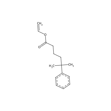 C=COC(=O)CCCC(C)(C)c1ccccc1